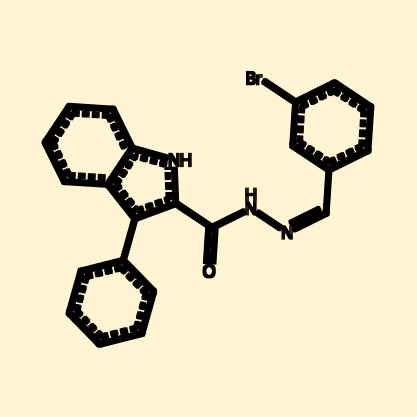 O=C(N/N=C\c1cccc(Br)c1)c1[nH]c2ccccc2c1-c1ccccc1